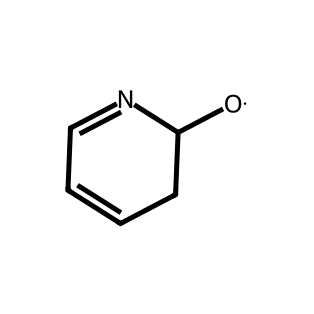 [O]C1CC=CC=N1